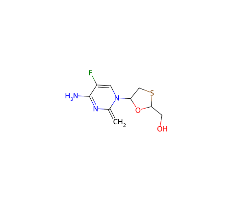 C=C1N=C(N)C(F)=CN1C1CSC(CO)O1